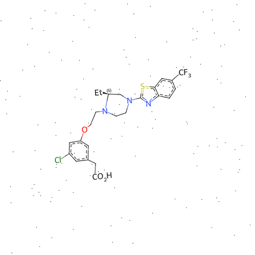 CC[C@H]1CN(c2nc3ccc(C(F)(F)F)cc3s2)CCN1CCOc1cc(Cl)cc(CC(=O)O)c1